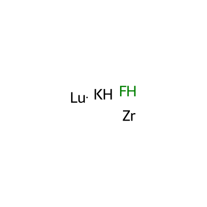 F.[KH].[Lu].[Zr]